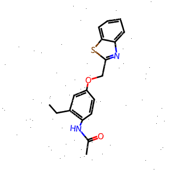 CCc1cc(OCc2nc3ccccc3s2)ccc1NC(C)=O